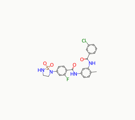 Cc1ccc(NC(=O)c2ccc(N3CCNS3(=O)=O)cc2F)cc1NC(=O)c1cccc(Cl)c1